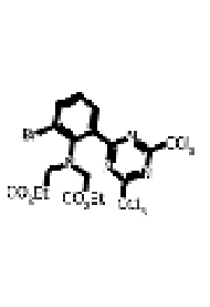 CCOC(=O)CN(CC(=O)OCC)c1c(Br)cccc1-c1nc(C(Cl)(Cl)Cl)nc(C(Cl)(Cl)Cl)n1